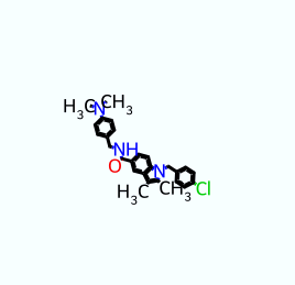 Cc1c(C)n(Cc2ccc(Cl)cc2)c2ccc(C(=O)NCc3ccc(N(C)C)cc3)cc12